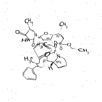 CCOP(=O)(C[C@@H](C)C1O[C@@H](n2cc(C)c(=O)[nH]c2=O)C[C@H]1OP1O[C@@H](CS(C)(c2ccccc2)c2ccccc2)[C@H]2CCCN21)OCC